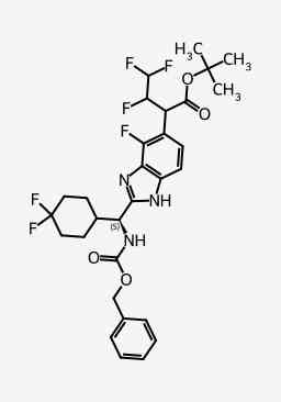 CC(C)(C)OC(=O)C(c1ccc2[nH]c([C@@H](NC(=O)OCc3ccccc3)C3CCC(F)(F)CC3)nc2c1F)C(F)C(F)F